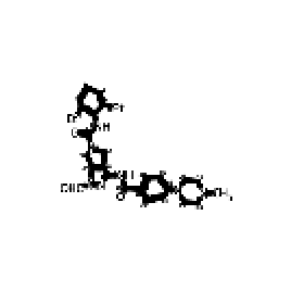 CCc1cccc(CC)c1NC(=O)N1Cc2c(NC(=O)c3ccc(N4CCN(C)CC4)cc3)nn([C]=O)c2C1